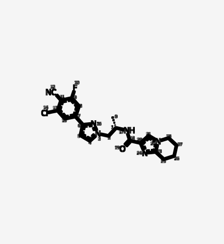 C[C@@H](Cn1ccc(-c2cc(F)c(C#N)c(Cl)c2)n1)NC(=O)c1cn2c(n1)CCCC2